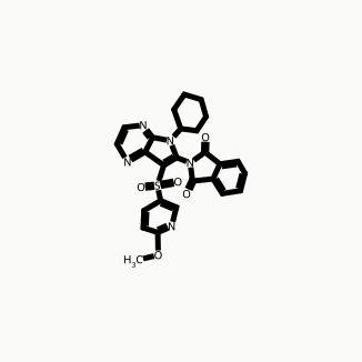 COc1ccc(S(=O)(=O)c2c(N3C(=O)c4ccccc4C3=O)n(C3CCCCC3)c3nccnc23)cn1